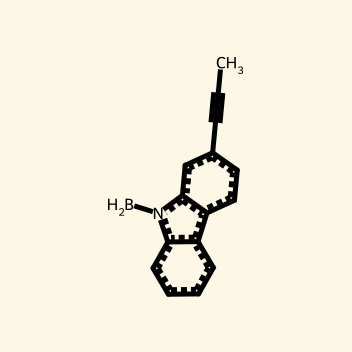 Bn1c2ccccc2c2ccc(C#CC)cc21